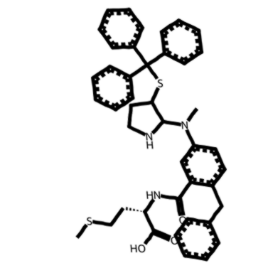 CSCC[C@H](NC(=O)c1cc(N(C)C2NCCC2SC(c2ccccc2)(c2ccccc2)c2ccccc2)ccc1Cc1ccccc1)C(=O)O